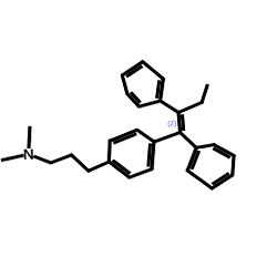 CC/C(=C(\c1ccccc1)c1ccc(CCCN(C)C)cc1)c1ccccc1